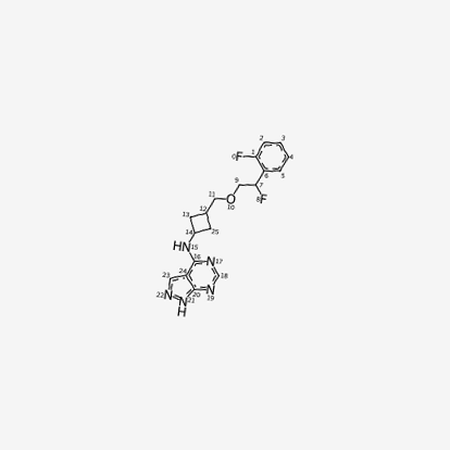 Fc1ccccc1C(F)COCC1CC(Nc2ncnc3[nH]ncc23)C1